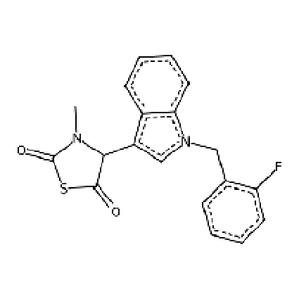 CN1C(=O)SC(=O)C1c1cn(Cc2ccccc2F)c2ccccc12